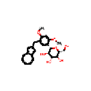 COc1cc(OC)c([C@@H]2O[C@H](CO)[C@@H](O)[C@H](O)[C@H]2O)cc1Cc1cc2cccccc-2c1